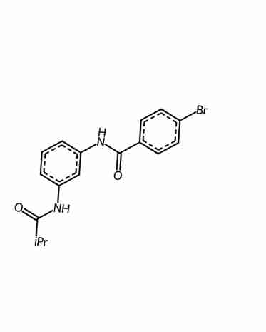 CC(C)C(=O)Nc1cccc(NC(=O)c2ccc(Br)cc2)c1